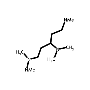 CNCCC(CCN(C)NC)N(C)C